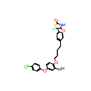 CCCc1cc(Oc2ccc(Cl)cc2)ccc1OCCCCc1ccc(C2(F)SC(=O)NC2=O)cc1